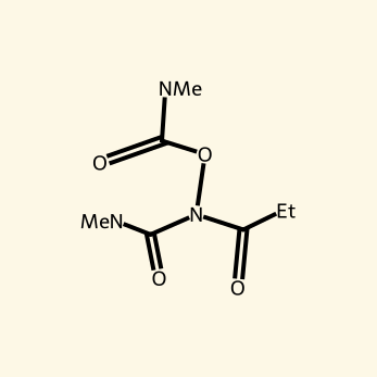 CCC(=O)N(OC(=O)NC)C(=O)NC